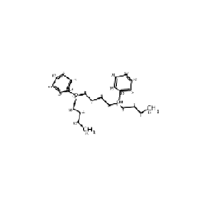 CCCCP(CCCCP(CCCC)c1ccccc1)c1ccccc1